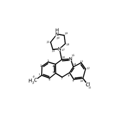 Cc1ccc2c(c1)Cc1cc(Cl)ccc1N=C2N1CCNCC1